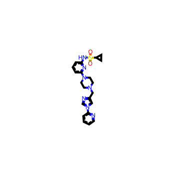 O=S(=O)(Nc1cccc(N2CCN(Cc3cn(-c4ccccn4)cn3)CC2)n1)C1CC1